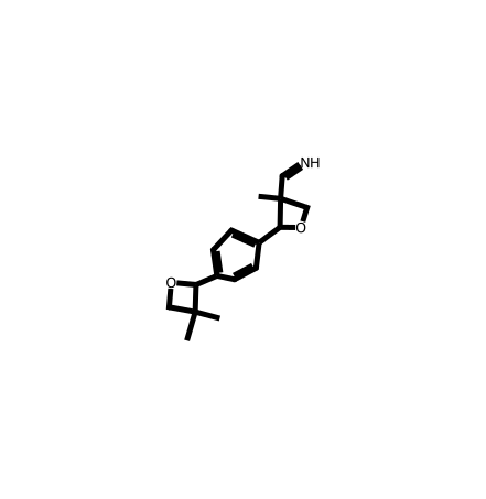 CC1(C)COC1c1ccc(C2OCC2(C)C=N)cc1